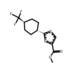 COC(=O)c1csc([C@H]2CC[C@H](C(F)(F)F)CC2)n1